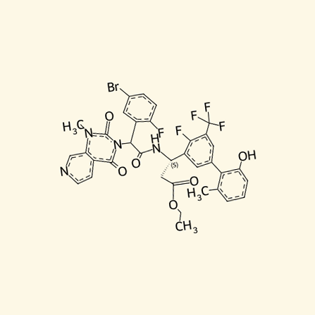 CCOC(=O)C[C@H](NC(=O)C(c1cc(Br)ccc1F)n1c(=O)c2ccncc2n(C)c1=O)c1cc(-c2c(C)cccc2O)cc(C(F)(F)F)c1F